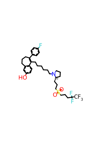 O=S(=O)(CCC[C@@H]1CCCN1CCCCCCC1=C(c2ccc(F)cc2)CCCc2cc(O)ccc21)CCCC(F)(F)C(F)(F)F